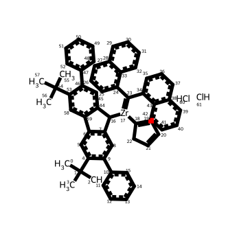 CC(C)(C)c1cc2c(cc1-c1ccccc1)[CH]([Zr]([C]1=CC=CC1)=[C](c1cccc3ccccc13)c1cccc3ccccc13)c1cc(-c3ccccc3)c(C(C)(C)C)cc1-2.Cl.Cl